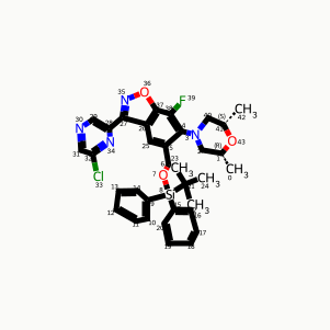 C[C@@H]1CN(c2c(CO[Si](c3ccccc3)(c3ccccc3)C(C)(C)C)cc3c(-c4cncc(Cl)n4)noc3c2F)C[C@H](C)O1